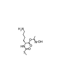 CSC(=O)N[C@@H](CCCCN)C(=O)OC(C)=NO